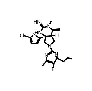 C=C1[C@@H]2CN(c3nc(C)c(F)c(CCC)n3)C[C@]2(c2ccc(Cl)s2)NC(=N)N1C